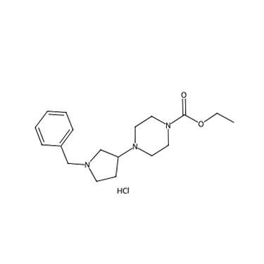 CCOC(=O)N1CCN(C2CCN(Cc3ccccc3)C2)CC1.Cl